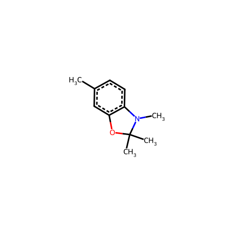 Cc1ccc2c(c1)OC(C)(C)N2C